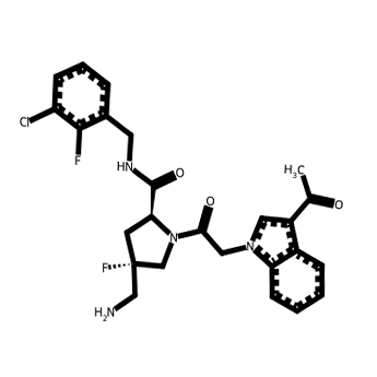 CC(=O)c1cn(CC(=O)N2C[C@@](F)(CN)C[C@H]2C(=O)NCc2cccc(Cl)c2F)c2ccccc12